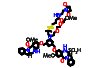 COCCOCCOCCN(CC(C)(C)SSCCCC(=O)NCCN1C(=O)C=CC1=O)c1cc(COc2cc3c(cc2OC)C(=O)N2c4ccccc4C[C@H]2CN3)cc(COc2cc3c(cc2OC)C(=O)N2c4ccccc4C[C@H]2C(S(=O)(=O)O)N3)c1